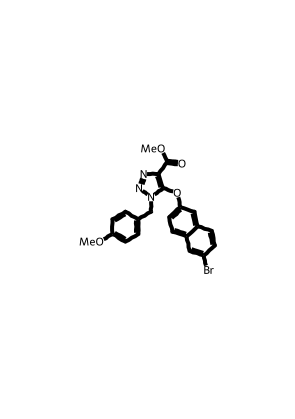 COC(=O)c1nnn(Cc2ccc(OC)cc2)c1Oc1ccc2cc(Br)ccc2c1